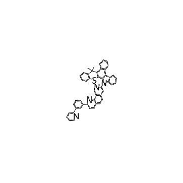 CC1(C)c2ccccc2Sc2c1c1ccccc1c1c3ccccc3n(-c3cc4ccc5ccc(-c6cccc(-c7ccccn7)c6)nc5c4cn3)c21